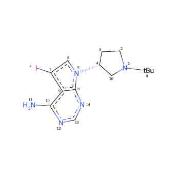 CC(C)(C)N1CC[C@@H](n2cc(I)c3c(N)ncnc32)C1